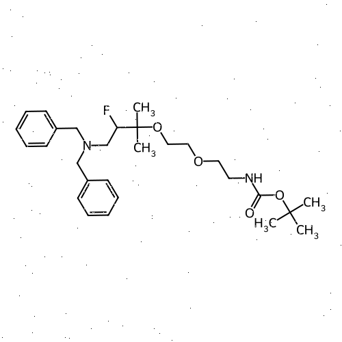 CC(C)(C)OC(=O)NCCOCCOC(C)(C)C(F)CN(Cc1ccccc1)Cc1ccccc1